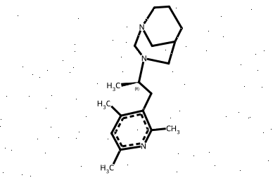 Cc1cc(C)c(C[C@@H](C)N2CC3CCCN(C3)C2)c(C)n1